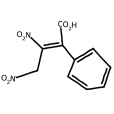 O=C(O)C(=C(C[N+](=O)[O-])[N+](=O)[O-])c1ccccc1